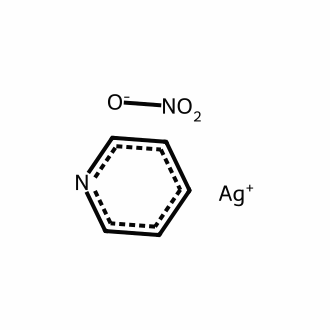 O=[N+]([O-])[O-].[Ag+].c1ccncc1